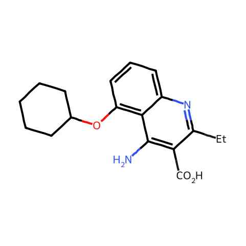 CCc1nc2cccc(OC3CCCCC3)c2c(N)c1C(=O)O